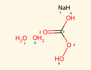 O.O.O=C(O)OO.[NaH]